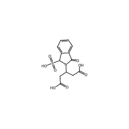 O=C(O)CC(CC(=O)O)N1C(=O)c2ccccc2C1S(=O)(=O)O